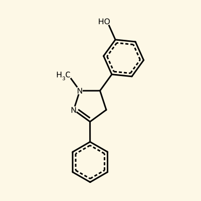 CN1N=C(c2ccccc2)CC1c1cccc(O)c1